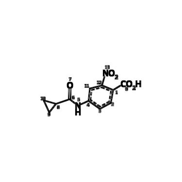 O=C(O)c1ccc(NC(=O)C2CC2)cc1[N+](=O)[O-]